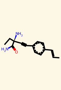 C/C=C/c1ccc(C#C[C@@](N)(CC)C(N)=O)cc1